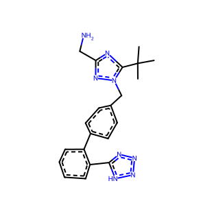 CC(C)(C)c1nc(CN)nn1Cc1ccc(-c2ccccc2-c2nnn[nH]2)cc1